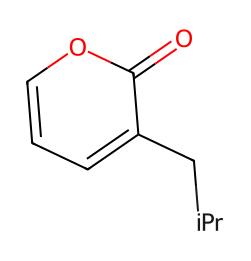 CC(C)Cc1cccoc1=O